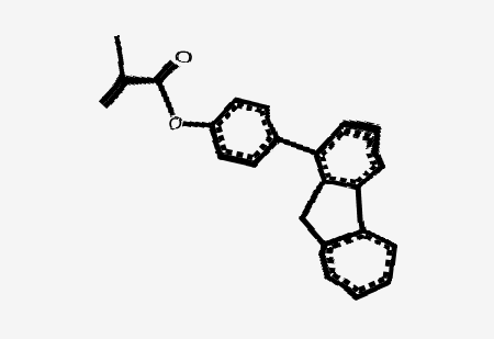 C=C(C)C(=O)Oc1ccc(-c2cccc3c2Cc2ccccc2-3)cc1